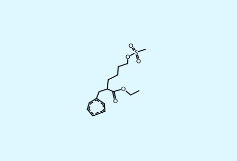 CCOC(=O)C(CCCCOS(C)(=O)=O)Cc1ccccc1